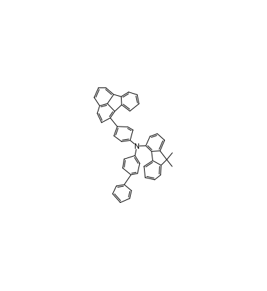 CC1(C)c2ccccc2-c2c(N(c3ccc(-c4ccccc4)cc3)c3ccc(-c4ccc5cccc6c5c4-c4ccccc4-6)cc3)cccc21